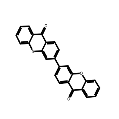 O=c1c2ccccc2oc2cc(-c3ccc4c(=O)c5ccccc5sc4c3)ccc12